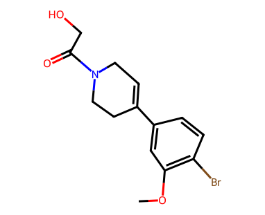 COc1cc(C2=CCN(C(=O)CO)CC2)ccc1Br